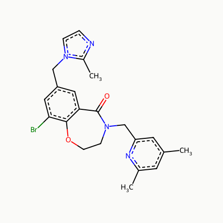 Cc1cc(C)nc(CN2CCOc3c(Br)cc(Cn4ccnc4C)cc3C2=O)c1